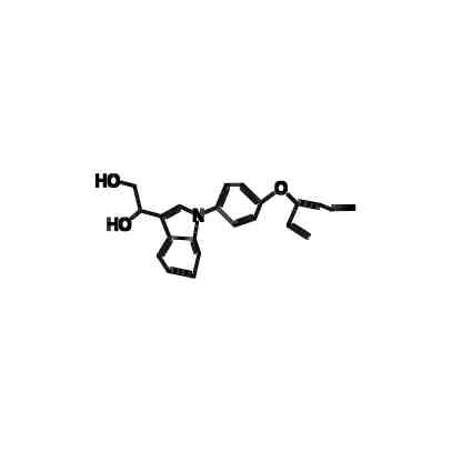 C=C/C=C(\C=C)Oc1ccc(-n2cc(C(O)CO)c3ccccc32)cc1